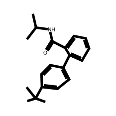 CC(C)NC(=O)c1ccccc1-c1ccc(C(C)(C)C)cc1